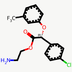 NCCOC(=O)[C@H](Oc1cccc(C(F)(F)F)c1)c1ccc(Cl)cc1